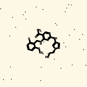 COc1cccc(F)c1CNc1nc(Nc2cnn(CCO)c2)ncc1C(N)=O